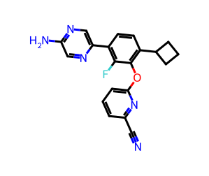 N#Cc1cccc(Oc2c(C3CCC3)ccc(-c3cnc(N)cn3)c2F)n1